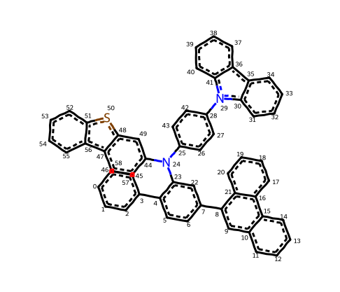 c1ccc(-c2ccc(-c3cc4ccccc4c4ccccc34)cc2N(c2ccc(-n3c4ccccc4c4ccccc43)cc2)c2ccc3c(c2)sc2ccccc23)cc1